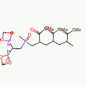 COC(=O)C(C)CC(CC(CP(C)(=O)CC([PH]12OC(O1)O2)[PH]12OC(O1)O2)C(=O)OC)C(=O)OC